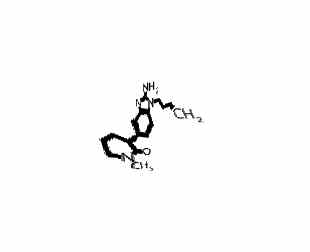 C=CCCn1c(N)nc2cc(C3CCCN(C)C3=O)ccc21